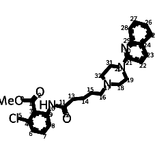 COC(=O)c1c(Cl)cccc1NC(=O)CCCCN1CCN(c2ccc3ccccc3n2)CC1